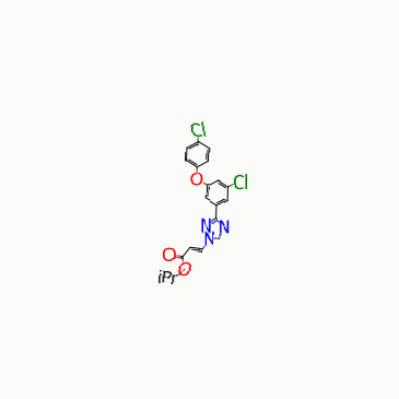 CC(C)OC(=O)C=Cn1cnc(-c2cc(Cl)cc(Oc3ccc(Cl)cc3)c2)n1